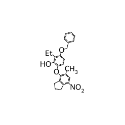 CCc1c(OCc2ccccc2)ccc(Oc2c(C)cc([N+](=O)[O-])c3c2CCC3)c1O